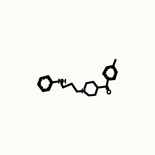 Cc1ccc(C(=O)C2CCN(CCCNc3ccccc3)CC2)cc1